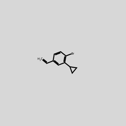 C=[C]c1ccc(Br)c(C2CC2)c1